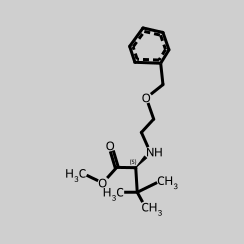 COC(=O)[C@@H](NCCOCc1ccccc1)C(C)(C)C